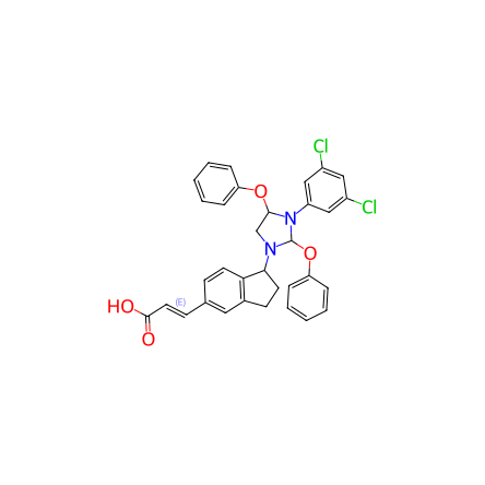 O=C(O)/C=C/c1ccc2c(c1)CCC2N1CC(Oc2ccccc2)N(c2cc(Cl)cc(Cl)c2)C1Oc1ccccc1